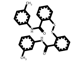 Cc1cccc(NC(=O)c2ccccc2SSc2ccccc2C(=O)Nc2cccc(C)c2)c1